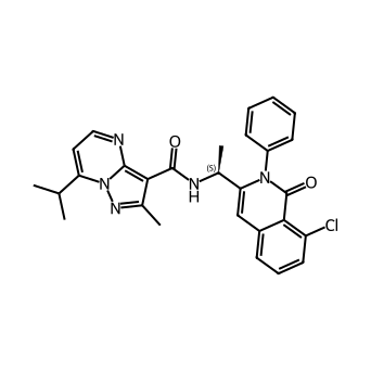 Cc1nn2c(C(C)C)ccnc2c1C(=O)N[C@@H](C)c1cc2cccc(Cl)c2c(=O)n1-c1ccccc1